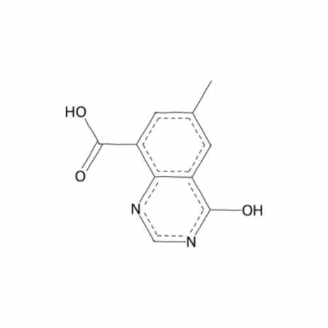 Cc1cc(C(=O)O)c2ncnc(O)c2c1